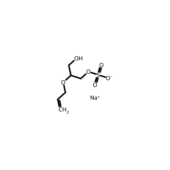 C=CCOC(CO)COS(=O)(=O)[O-].[Na+]